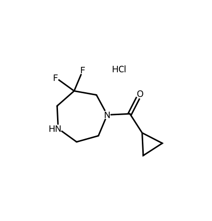 Cl.O=C(C1CC1)N1CCNCC(F)(F)C1